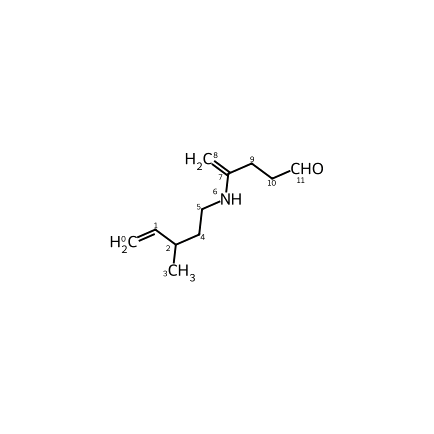 C=CC(C)CCNC(=C)CCC=O